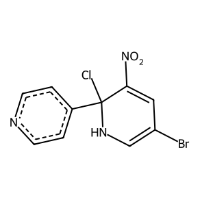 O=[N+]([O-])C1=CC(Br)=CNC1(Cl)c1ccncc1